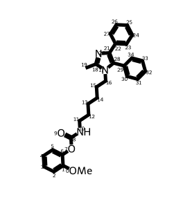 COc1ccccc1OC(=O)NCCCCCCn1c(C)nc(-c2ccccc2)c1-c1ccccc1